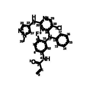 C=CC(=O)Nc1ccc(F)c(N(c2ccccc2)c2nc(Nc3cnn(C)c3)ncc2Cl)c1